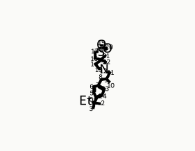 CCC(C)(C)c1ccc(CC(C)CN2CCC3(CCS(=O)(=O)C3)C2)cc1